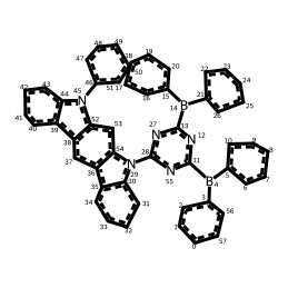 c1ccc(B(c2ccccc2)c2nc(B(c3ccccc3)c3ccccc3)nc(-n3c4ccccc4c4cc5c6ccccc6n(-c6ccccc6)c5cc43)n2)cc1